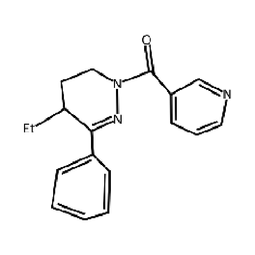 CCC1CCN(C(=O)c2cccnc2)N=C1c1ccccc1